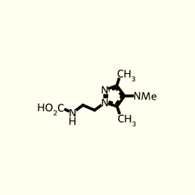 CNc1c(C)nn(CCNC(=O)O)c1C